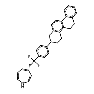 C1=CC=CNC=C1.FC(F)(F)c1ccc(C2CCc3c(ccc4c3CCc3ccccc3-4)C2)cc1